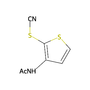 CC(=O)Nc1ccsc1SC#N